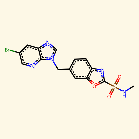 CNS(=O)(=O)c1nc2ccc(Cn3cnc4cc(Br)cnc43)cc2o1